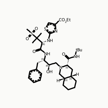 CCOC(=O)c1csc(N[C@H](C(=O)N[C@@H](Cc2ccccc2)[C@H](O)CN2C[C@H]3CCCC[C@H]3C[C@H]2C(=O)NC(C)(C)C)C(C)(C)S(C)(=O)=O)n1